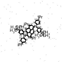 CC(C)c1ccc(N(c2ccc([Si](C)(C)C)cc2)c2cc(C(C)C)c3ccc4c(N(c5ccc(C(C)C)cc5)c5ccc([Si](C)(C)C)cc5)cc(C(C)C)c5ccc2c3c54)cc1